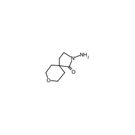 NN1CCC2(CCOCC2)C1=O